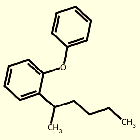 CCCCC(C)c1ccccc1Oc1ccccc1